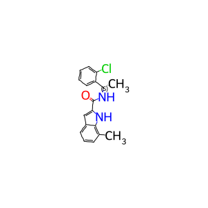 Cc1cccc2cc(C(=O)N[C@@H](C)c3ccccc3Cl)[nH]c12